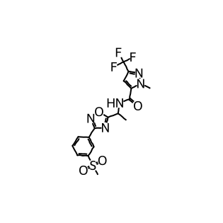 CC(NC(=O)c1cc(C(F)(F)F)nn1C)c1nc(-c2cccc(S(C)(=O)=O)c2)no1